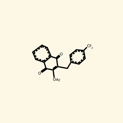 CC(=O)OC1=C(Cc2ccc(C(F)(F)F)cc2)C(=O)c2ccccc2C1=O